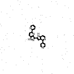 c1ccc(-c2ccc3[nH]nc(-c4cc5c(-c6ccncc6)nccc5[nH]4)c3n2)nc1